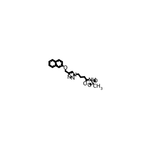 CS(=O)(=O)NC(=O)CCCn1cc(COc2ccc3ccccc3c2)nn1